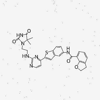 CC1(C)C(=O)NC(=O)N1CCNc1nccc(-c2cc3cc(NC(=O)c4cccc5c4OCC5)ccc3s2)n1